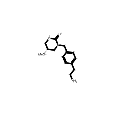 CO[C@@H]1COC(=O)N(Cc2ccc(CCN)cc2)C1